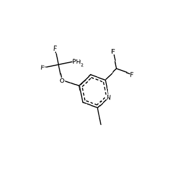 Cc1cc(OC(F)(F)P)cc(C(F)F)n1